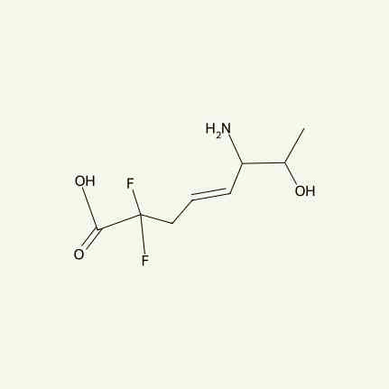 CC(O)C(N)/C=C/CC(F)(F)C(=O)O